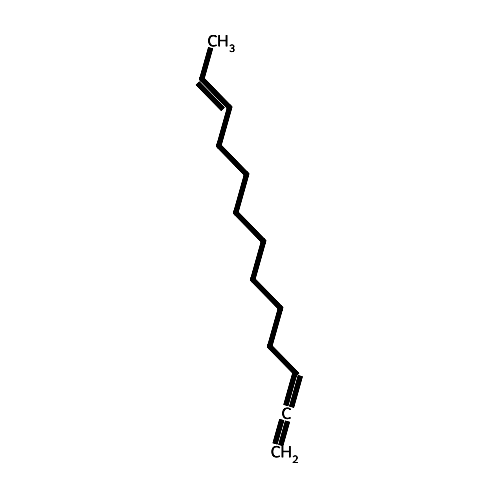 C=C=CCCCCCCCC=CC